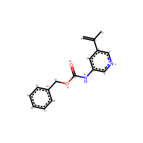 C=C(C)c1cncc(NC(=O)OCc2ccccc2)c1